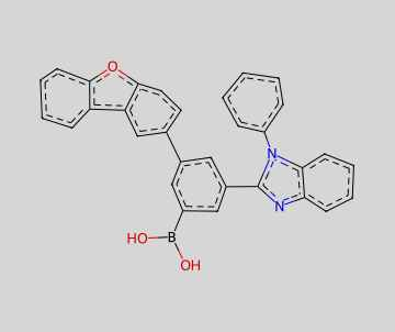 OB(O)c1cc(-c2ccc3oc4ccccc4c3c2)cc(-c2nc3ccccc3n2-c2ccccc2)c1